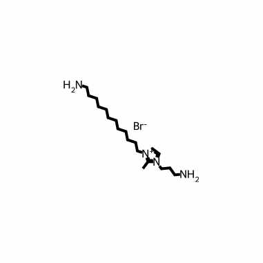 Cc1n(CCCN)cc[n+]1CCCCCCCCCCCCN.[Br-]